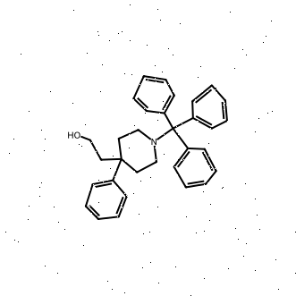 OCCC1(c2ccccc2)CCN(C(c2ccccc2)(c2ccccc2)c2ccccc2)CC1